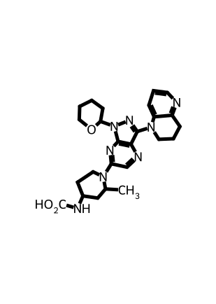 CC1CC(NC(=O)O)CCN1c1cnc2c(N3CCCc4ncccc43)nn(C3CCCCO3)c2n1